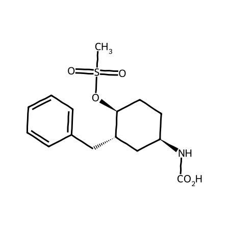 CS(=O)(=O)O[C@H]1CC[C@@H](NC(=O)O)C[C@@H]1Cc1ccccc1